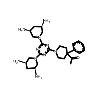 CC(=O)C1(c2ccccc2)CCN(c2nc(N3C[C@H](N)C[C@H](N)C3)nc(N3C[C@H](N)C[C@H](N)C3)n2)CC1